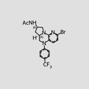 CC(=O)N[C@@H]1C[C@@H]2CN(c3ccc(C(F)(F)F)cc3)c3ccc(Br)nc3N2C1